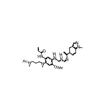 C=CC(=O)Nc1cc(NCN/C=N\C(=C)C2C=Cc3c(cnn3C)C2)c(OC)cc1N(C)CCCN(C)C(C)=O